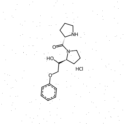 Cl.O=C([C@@H]1CCCN1)N1CCC[C@H]1C(O)COc1ccccc1